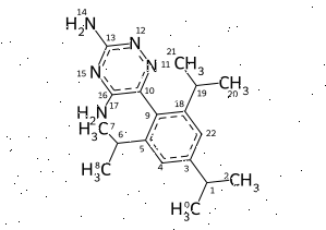 CC(C)c1cc(C(C)C)c(-c2nnc(N)nc2N)c(C(C)C)c1